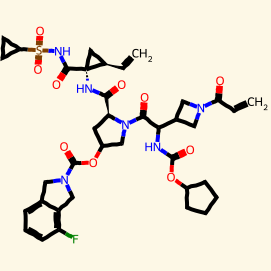 C=CC(=O)N1CC(C(NC(=O)OC2CCCC2)C(=O)N2CC(OC(=O)N3Cc4cccc(F)c4C3)C[C@H]2C(=O)N[C@]2(C(=O)NS(=O)(=O)C3CC3)C[C@H]2C=C)C1